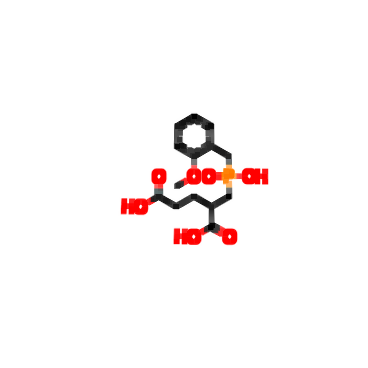 COc1ccccc1CP(=O)(O)CC(CCC(=O)O)C(=O)O